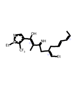 C/C=C\C=CC/C(=C\CC)CC(=N)/C(C)=C(\O)c1cnn(CC)c1C(F)(F)F